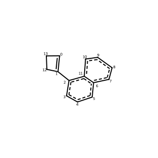 C1=C(c2cccc3ccccc23)CC1